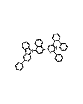 C1=CC(c2ccccc2)C(c2cc(-c3ccc(-n4c5ccccc5c5cc(-c6ccccc6)ccc54)c4ccccc34)nc(-c3ccccc3)n2)C=C1